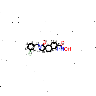 O=C(NO)C1=CC2CC[C@]3(CCN(Cc4cccc(Cl)c4)C3=O)CC2C=C1